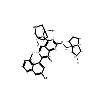 Oc1cc(-c2ncc3c(N4[C@@H]5CC[C@H]4CNC5)nc(OC[C@@]45CCCN4C[C@H](F)C5)nc3c2F)c2c(F)cccc2c1